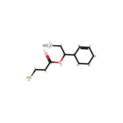 O=C(O)CC(OC(=O)CCS)C1C=CCCC1